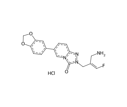 Cl.NC/C(=C\F)Cn1nc2ccc(-c3ccc4c(c3)OCO4)cn2c1=O